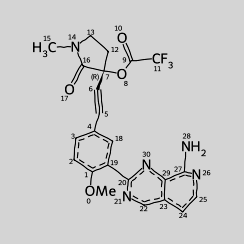 COc1ccc(C#C[C@]2(OC(=O)C(F)(F)F)CCN(C)C2=O)cc1-c1ncc2ccnc(N)c2n1